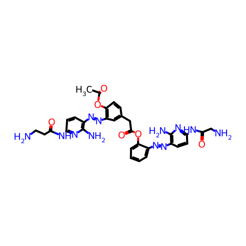 CC(=O)Oc1ccc(CC(=O)Oc2ccccc2/N=N/c2ccc(NC(=O)CN)nc2N)cc1/N=N/c1ccc(NC(=O)CCN)nc1N